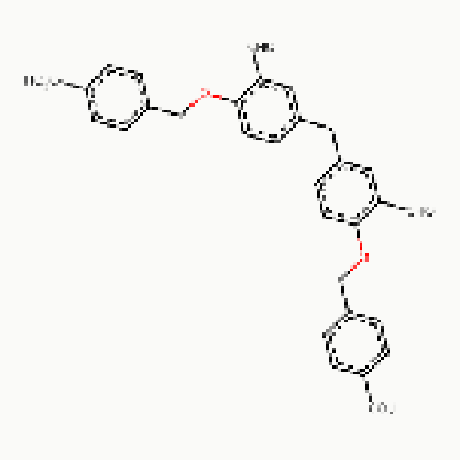 O=Cc1cc(Cc2ccc(OCc3ccc(C(=O)O)cc3)c(C=O)c2)ccc1OCc1ccc(C(=O)O)cc1